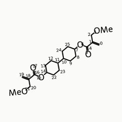 C=C(COC)C(=O)OC1CCC(C2CCC(OC(=O)C(=C)COC)CC2)CC1